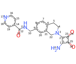 Nc1c(N2CCc3ccc(CNC(=O)c4ccncc4)cc3C2)c(=O)c1=O